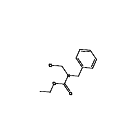 CCOC(=O)N(CCl)Cc1ccccc1